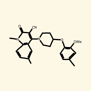 COc1cc(C)ccc1OC1CCN(c2c(C#N)c(=O)n(C)c3ccc(C)cc23)CC1